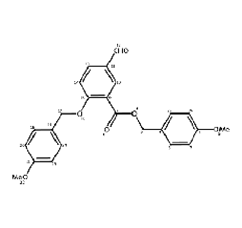 COc1ccc(COC(=O)c2cc(C=O)ccc2OCc2ccc(OC)cc2)cc1